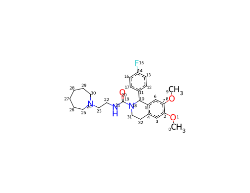 COc1cc2c(cc1OC)C(c1ccc(F)cc1)N(C(=O)NCCN1CCCCCC1)CC2